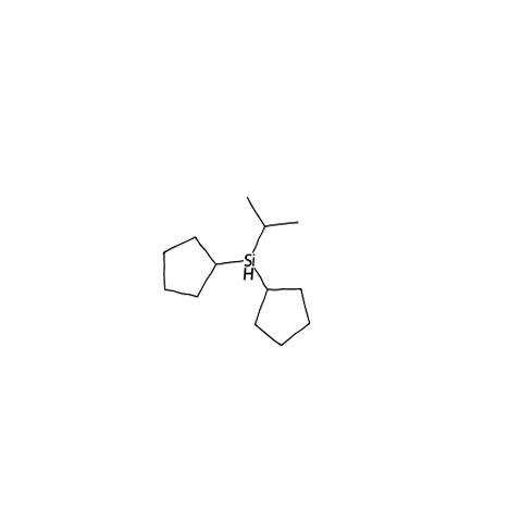 CC(C)[SiH](C1CCCC1)C1CCCC1